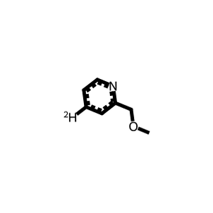 [2H]c1ccnc(COC)c1